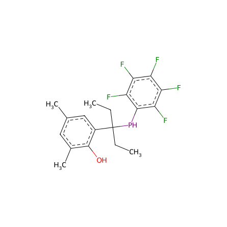 CCC(CC)(Pc1c(F)c(F)c(F)c(F)c1F)c1cc(C)cc(C)c1O